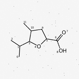 CC(C)C1OC(C(=O)O)CC1C